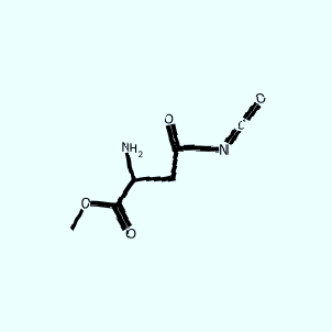 COC(=O)C(N)CC(=O)N=C=O